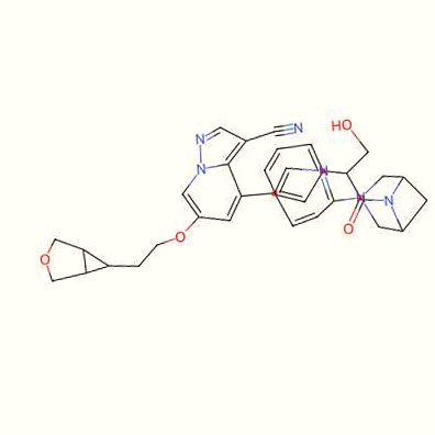 N#Cc1cnn2cc(OCCC3C4COCC34)cc(-c3ccc(N4CC5CC(C4)N5C(=O)C(CO)c4ccccc4)nc3)c12